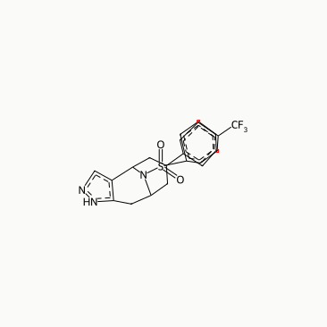 O=S(=O)(c1ccc(C(F)(F)F)cc1)N1C2Cc3[nH]ncc3C1CC(c1ccccc1)C2